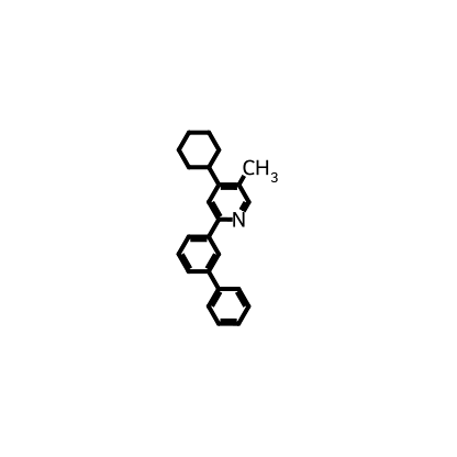 Cc1cnc(-c2cccc(-c3ccccc3)c2)cc1C1CCCCC1